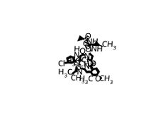 CC[C@@H]1C[C@]1(NC(=O)[C@@H]1C[C@@H](Oc2nc(-c3nc(C(C)C)cs3)cc3c(C)c(OC)ccc23)CN1C(=O)[C@@H](Nc1ccc(Cl)cc1Cl)C(C)(C)C)C(=O)NS(=O)(=O)C1CC1